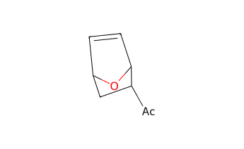 CC(=O)C1CC2C=CC1O2